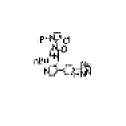 CCCCc1cn(-c2c(Cl)ccn2C(C)C)c(=O)n1Cc1cnccc1-c1ccc(-c2nnn[nH]2)cc1